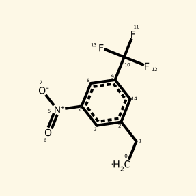 [CH2]Cc1cc([N+](=O)[O-])cc(C(F)(F)F)c1